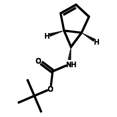 CC(C)(C)OC(=O)N[C@@H]1[C@H]2C=CC[C@H]21